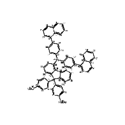 CC(C)(C)c1ccc(C2(c3ccc(C(C)(C)C)cc3)c3ccccc3-c3c(N(c4ccc(-c5cccc6ccccc56)cc4)c4ccc(-c5cccc6ccccc56)cc4)cccc32)cc1